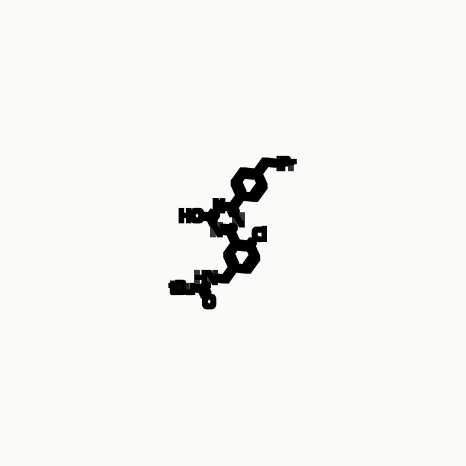 CC(C)Cc1ccc(-c2nc(O)nc(-c3cc(CNC(=O)C(C)(C)C)ccc3Cl)n2)cc1